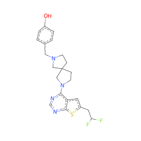 Oc1ccc(CN2CCC3(CCN(c4ncnc5sc(CC(F)F)cc45)C3)C2)cc1